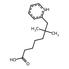 CC(C)(CCCCC(=O)O)Cc1cccc[siH]1